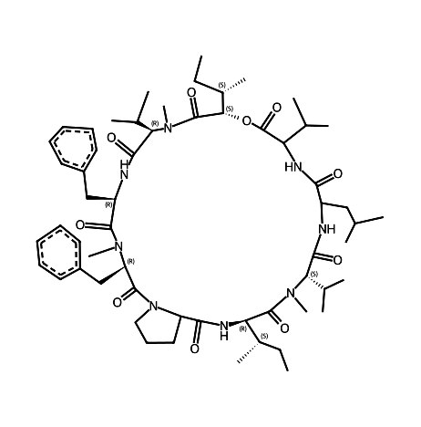 CC[C@H](C)[C@@H]1OC(=O)C(C(C)C)NC(=O)C(CC(C)C)NC(=O)[C@H](C(C)C)N(C)C(=O)[C@@H]([C@@H](C)CC)NC(=O)C2CCCN2C(=O)[C@@H](Cc2ccccc2)N(C)C(=O)[C@@H](Cc2ccccc2)NC(=O)[C@@H](C(C)C)N(C)C1=O